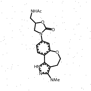 CNc1n[nH]c2c1CCOc1cc(N3CC(CNC(C)=O)OC3=O)ccc1-2